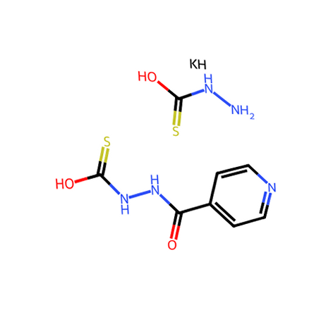 NNC(O)=S.O=C(NNC(O)=S)c1ccncc1.[KH]